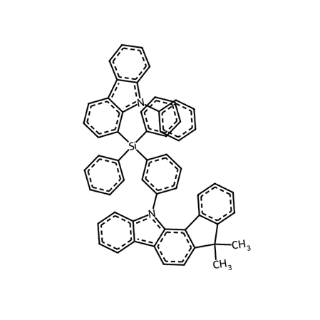 CC1(C)c2ccccc2-c2c1ccc1c3ccccc3n(-c3cccc([Si](c4ccccc4)(c4ccccc4)c4cccc5c6ccccc6n(-c6ccccc6)c45)c3)c21